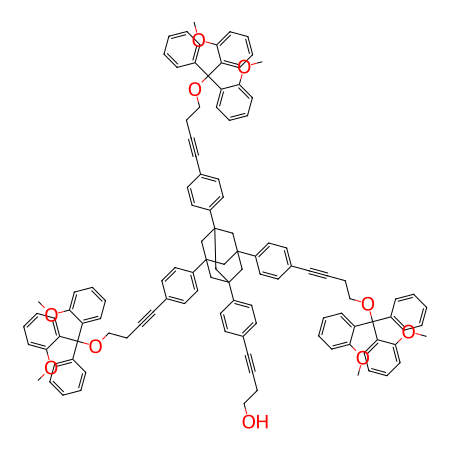 COc1ccccc1C(OCCC#Cc1ccc(C23CC4(c5ccc(C#CCCO)cc5)CC(c5ccc(C#CCCOC(c6ccccc6)(c6ccccc6OC)c6ccccc6OC)cc5)(C2)CC(c2ccc(C#CCCOC(c5ccccc5)(c5ccccc5OC)c5ccccc5OC)cc2)(C4)C3)cc1)(c1ccccc1)c1ccccc1OC